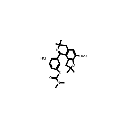 COc1cc2c(c3c1OC(C)(C)C3)C(c1cccc(SC(=O)N(C)C)c1)=NC(C)(C)C2.Cl